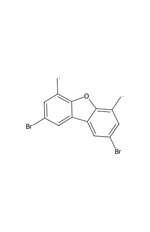 [CH2]c1cc(Br)cc2c1oc1c([CH2])cc(Br)cc12